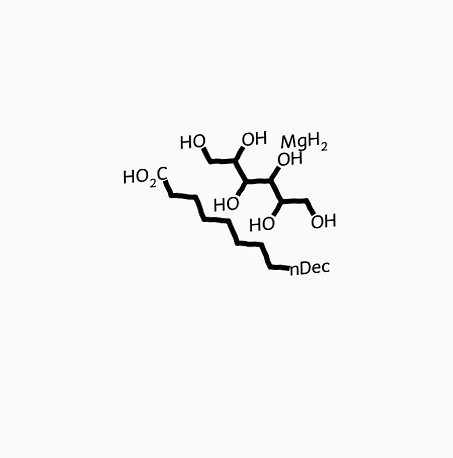 CCCCCCCCCCCCCCCCCC(=O)O.OCC(O)C(O)C(O)C(O)CO.[MgH2]